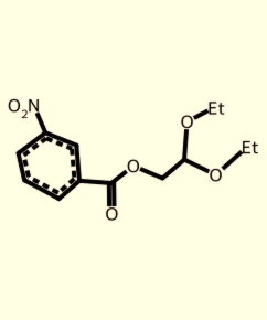 CCOC(COC(=O)c1cccc([N+](=O)[O-])c1)OCC